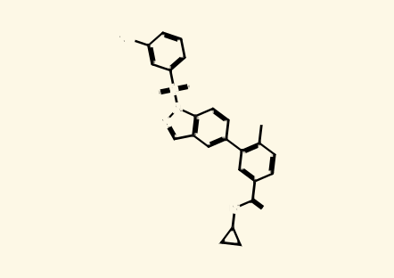 Cc1ccc(C(=O)NC2CC2)cc1-c1ccc2c(cnn2S(=O)(=O)c2cccc(C#N)c2)c1